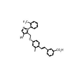 Cc1cc(OCc2c(C(C)C)cnn2-c2ccccc2C(F)(F)F)ccc1C=Cc1cccc(C(=O)O)c1